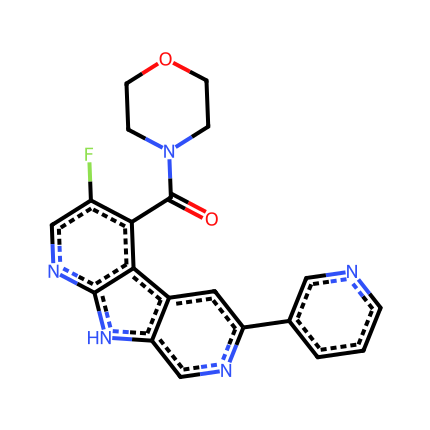 O=C(c1c(F)cnc2[nH]c3cnc(-c4cccnc4)cc3c12)N1CCOCC1